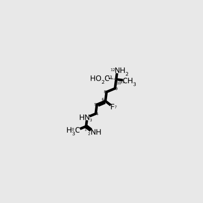 CC(=N)NC/C=C(\F)CC[C@](C)(N)C(=O)O